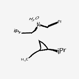 CC(C)C1CC1C.CC(C)[CH2][Al][CH2]C(C)C.O